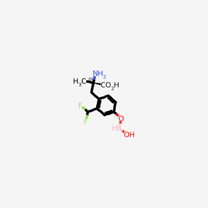 C[C@](N)(Cc1ccc(OBO)cc1C(F)F)C(=O)O